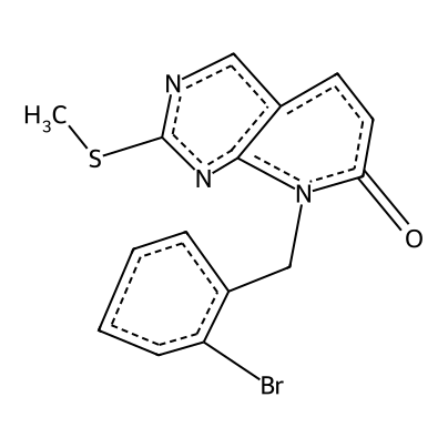 CSc1ncc2ccc(=O)n(Cc3ccccc3Br)c2n1